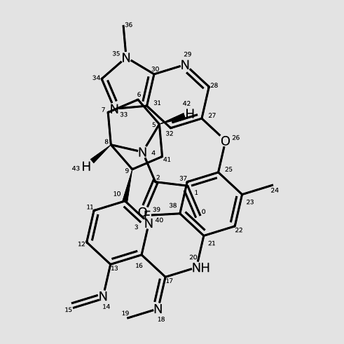 C=CC(=O)N1[C@@H]2CC[C@H]1[C@H](c1ccc(N=C)c(/C(=N\C)Nc3cc(C)c(Oc4cnc5c(c4)ncn5C)cc3F)n1)C2